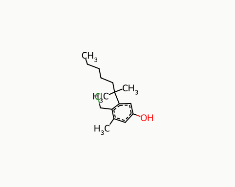 CCCCCC(C)(C)c1cc(O)cc(C)c1CCl